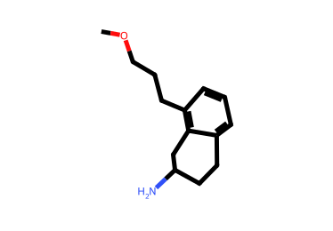 COCCCc1cccc2c1CC(N)CC2